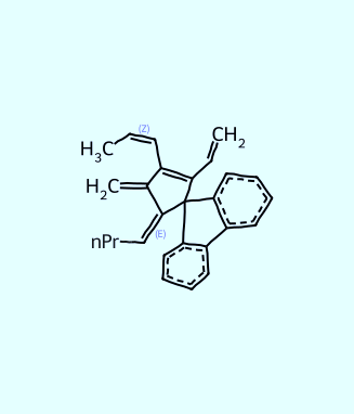 C=CC1=C(/C=C\C)C(=C)/C(=C\CCC)C12c1ccccc1-c1ccccc12